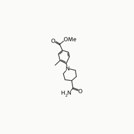 COC(=O)c1ccc(N2CCC(C(N)=O)CC2)c(C)c1